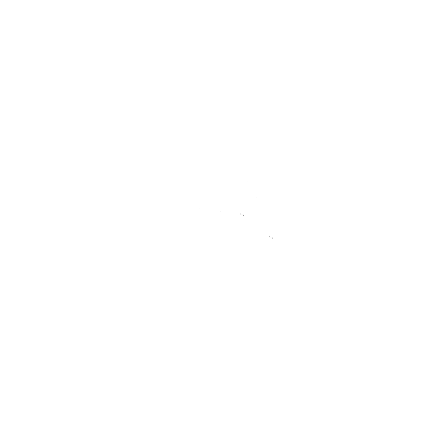 O=c1cc[nH]c(=O)n1C1(CO)OCC1c1ccccc1